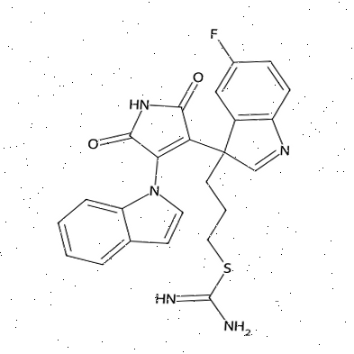 N=C(N)SCCCC1(C2=C(n3ccc4ccccc43)C(=O)NC2=O)C=Nc2ccc(F)cc21